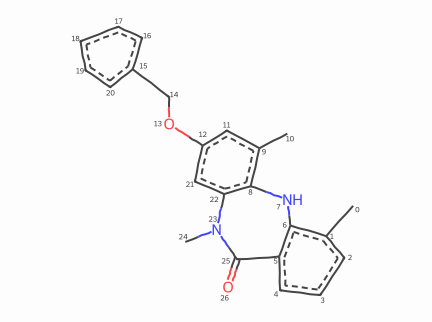 Cc1cccc2c1Nc1c(C)cc(OCc3ccccc3)cc1N(C)C2=O